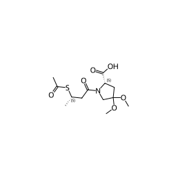 COC1(OC)C[C@@H](C(=O)O)N(C(=O)C[C@H](C)SC(C)=O)C1